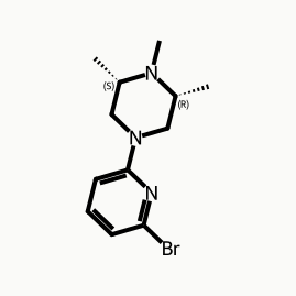 C[C@@H]1CN(c2cccc(Br)n2)C[C@H](C)N1C